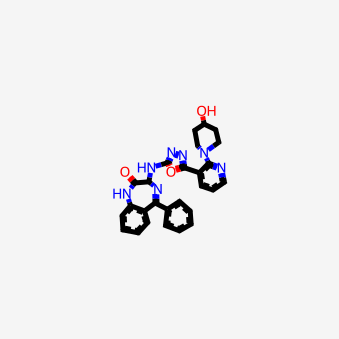 O=C1Nc2ccccc2C(c2ccccc2)=NC1Nc1nnc(-c2cccnc2N2CCC(O)CC2)o1